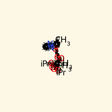 Cc1ccc(OCCCOC(=O)C(C)CC(C(=O)OC(C)C)C(C)C(=O)OC(C)C)c(-n2nc3ccccc3n2)c1